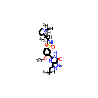 [2H]C([2H])(C)Cc1nn(C)c2c(=O)[nH]c(-c3cc(S(=O)(=O)NC([2H])([2H])C([2H])([2H])C4CCCN4C([2H])([2H])[2H])ccc3OCCC)nc12